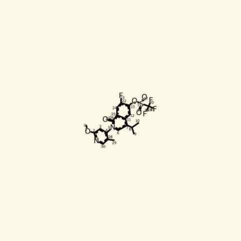 COc1cc(-n2cc(C(C)C)c3cc(OS(=O)(=O)C(F)(F)F)c(F)cc3c2=O)c(C)cn1